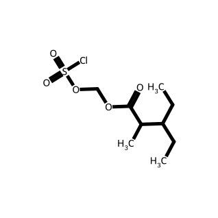 CCC(CC)C(C)C(=O)OCOS(=O)(=O)Cl